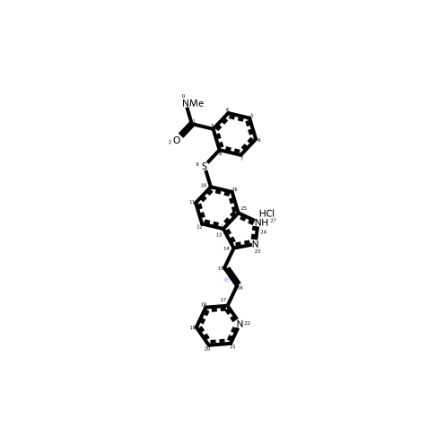 CNC(=O)c1ccccc1Sc1ccc2c(/C=C/c3ccccn3)n[nH]c2c1.Cl